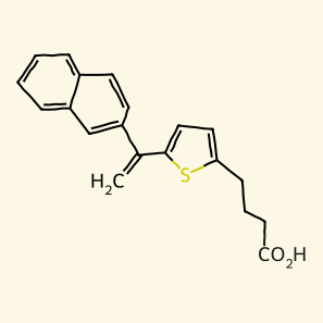 C=C(c1ccc2ccccc2c1)c1ccc(CCCC(=O)O)s1